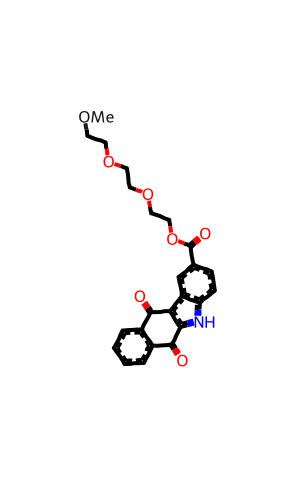 COCCOCCOCCOC(=O)c1ccc2[nH]c3c(c2c1)C(=O)c1ccccc1C3=O